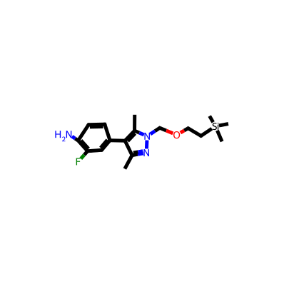 Cc1nn(COCC[Si](C)(C)C)c(C)c1-c1ccc(N)c(F)c1